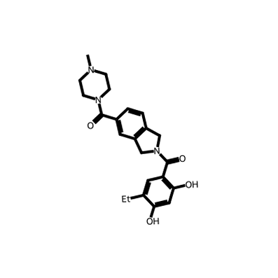 CCc1cc(C(=O)N2Cc3ccc(C(=O)N4CCN(C)CC4)cc3C2)c(O)cc1O